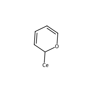 [Ce][CH]1C=CC=CO1